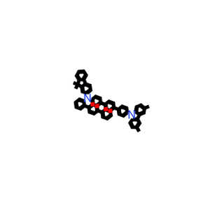 Cc1ccc2c(c1)c1cc(C)ccc1n2-c1ccc(-c2ccc(-c3ccc(N(c4ccc5c(c4)C(C)(C)c4ccccc4-5)c4ccccc4-c4ccc(-c5ccccc5)cc4)cc3)cc2)cc1